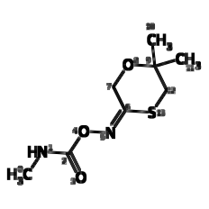 CNC(=O)ON=C1COC(C)(C)CS1